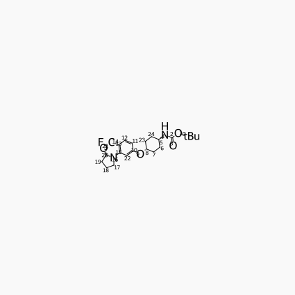 CC(C)(C)OC(=O)N[C@H]1CC[C@H](Oc2ccc(C(F)(F)F)c(N3CCCC3=O)c2)CC1